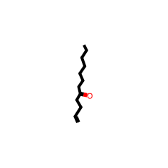 C=CCCC(=O)CCCCCCC